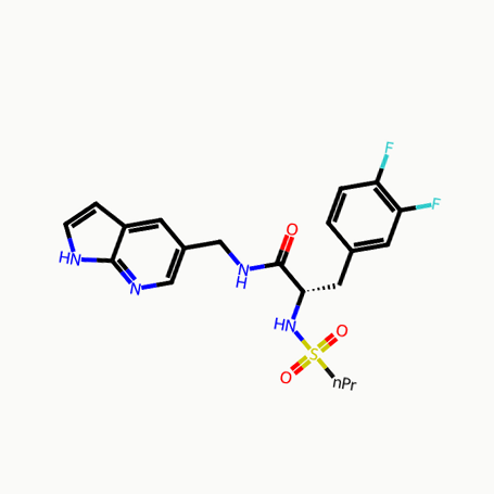 CCCS(=O)(=O)N[C@@H](Cc1ccc(F)c(F)c1)C(=O)NCc1cnc2[nH]ccc2c1